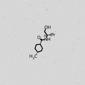 CC(C)[C@H](CO)NC(=O)[C@H]1CC[C@H](C)CC1